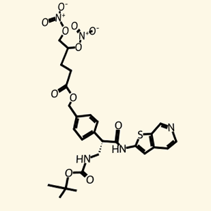 CC(C)(C)OC(=O)NC[C@@H](C(=O)Nc1cc2ccncc2s1)c1ccc(COC(=O)CCC(CO[N+](=O)[O-])O[N+](=O)[O-])cc1